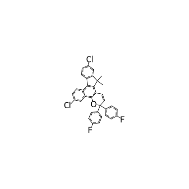 CC1(C)c2cc(Cl)ccc2-c2c1c1c(c3cc(Cl)ccc23)OC(c2ccc(F)cc2)(c2ccc(F)cc2)C=C1